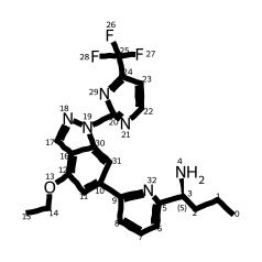 CCC[C@H](N)c1cccc(-c2cc(OCC)c3cnn(-c4nccc(C(F)(F)F)n4)c3c2)n1